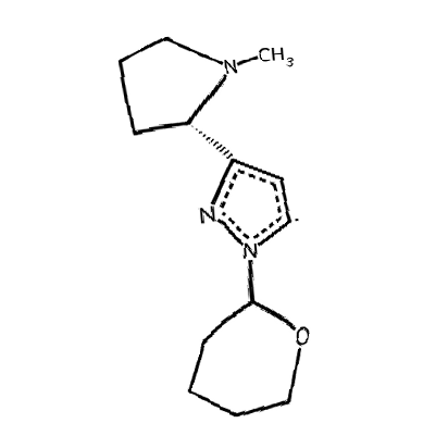 CN1CCC[C@H]1c1c[c]n(C2CCCCO2)n1